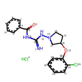 Cl.N=C(NC(=O)c1ccccc1)NN1CCC(Oc2ccccc2Cl)C1